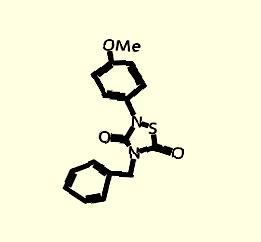 COc1ccc(-n2sc(=O)n(Cc3ccccc3)c2=O)cc1